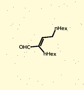 CCCCCCCC=C(C=O)CCCCCC